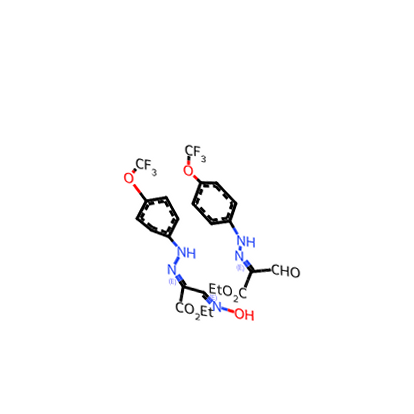 CCOC(=O)/C(C=O)=N/Nc1ccc(OC(F)(F)F)cc1.CCOC(=O)C(/C=N/O)=N/Nc1ccc(OC(F)(F)F)cc1